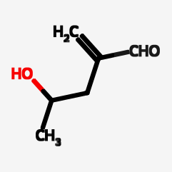 C=C(C=O)CC(C)O